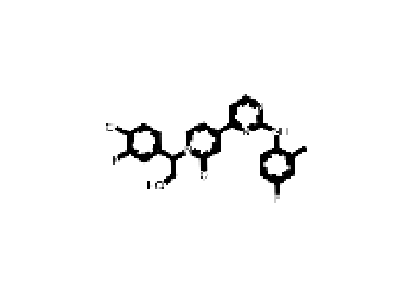 Cc1cc(F)ccc1Nc1nccc(-c2ccn(C(CO)c3ccc(Cl)c(F)c3)c(=O)c2)n1